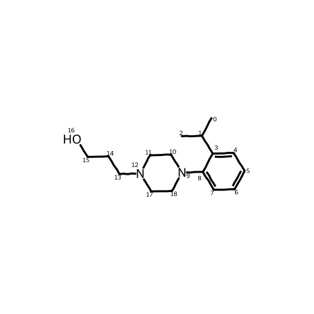 CC(C)c1ccccc1N1CCN(CCCO)CC1